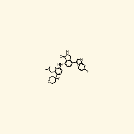 CN(C)Cc1nc(Nc2ccc(-c3cnc4cc(F)ccn34)c3c2C(=O)NC3)ccc1C1(F)CCOCC1